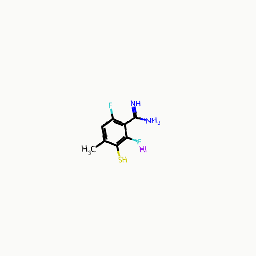 Cc1cc(F)c(C(=N)N)c(F)c1S.I